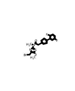 CSc1sc(N(C)C(=O)Cc2ccc(-c3cc(F)ccc3F)cc2)nc1CBr